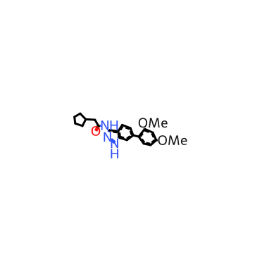 COc1ccc(-c2ccc3c(NC(=O)CC4CCCC4)n[nH]c3c2)c(OC)c1